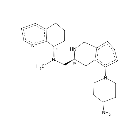 CN(C[C@@H]1Cc2c(cccc2N2CCC(N)CC2)CN1)[C@H]1CCCc2cccnc21